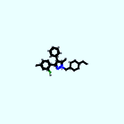 CCC1CCC(Cn2nc(-c3ccc(C)cc3F)c(-c3ccccc3)c2C)CC1